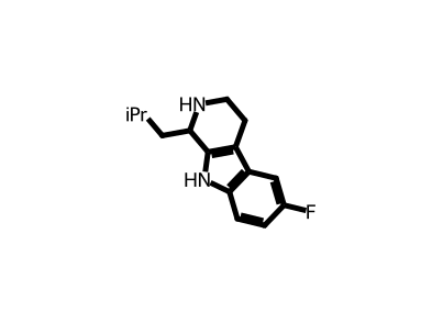 CC(C)CC1NCCc2c1[nH]c1ccc(F)cc21